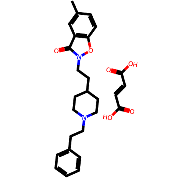 Cc1ccc2on(CCC3CCN(CCc4ccccc4)CC3)c(=O)c2c1.O=C(O)/C=C/C(=O)O